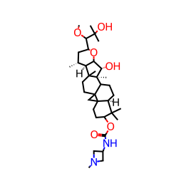 COC(C1C[C@@H](C)[C@H]2C(O1)[C@H](O)[C@@]1(C)C3CC[C@H]4C(C)(C)C(OC(=O)NC5CN(C)C5)CCC45CC35CCC21C)C(C)(C)O